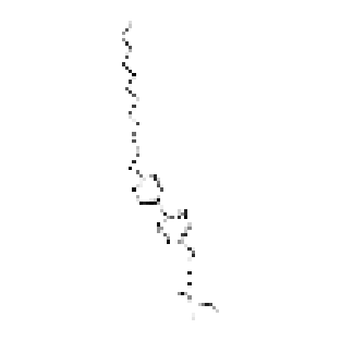 CCCCCCCCCCCCc1ccc(-c2ncc(OCCC(F)C(C)CC)cn2)cc1